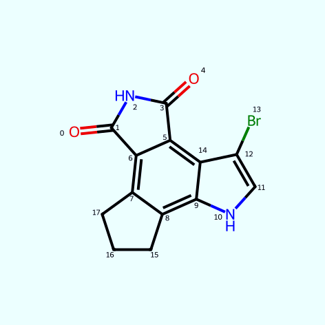 O=C1NC(=O)c2c1c1c(c3[nH]cc(Br)c23)CCC1